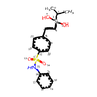 CC(C)[Si](O)(O)/C=C/c1ccc(S(=O)(=O)Nc2ccccc2)cc1